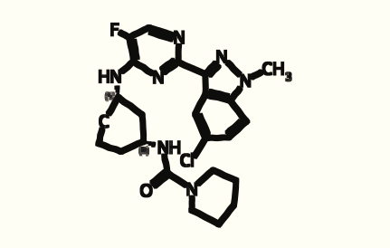 Cn1nc(-c2ncc(F)c(N[C@H]3CCC[C@@H](NC(=O)N4CCCCC4)C3)n2)c2cc(Cl)ccc21